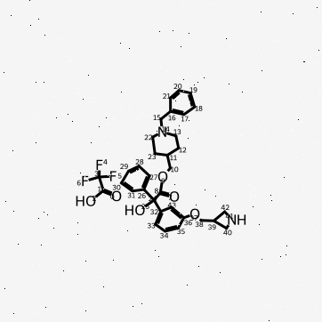 O=C(O)C(F)(F)F.O=C(OCC1CCN(Cc2ccccc2)CC1)C(O)(c1ccccc1)c1cccc(OCC2CNC2)c1